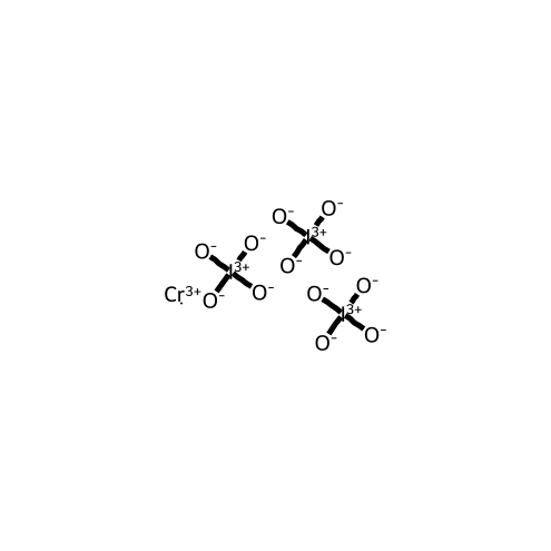 [Cr+3].[O-][I+3]([O-])([O-])[O-].[O-][I+3]([O-])([O-])[O-].[O-][I+3]([O-])([O-])[O-]